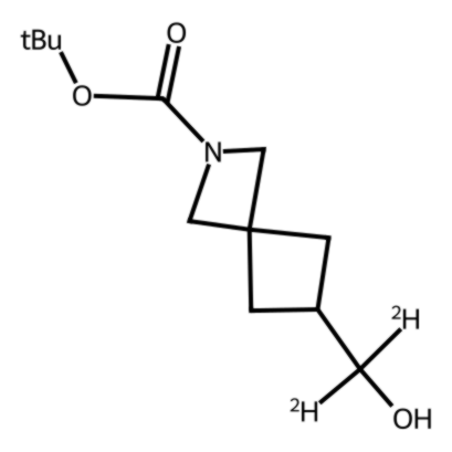 [2H]C([2H])(O)C1CC2(C1)CN(C(=O)OC(C)(C)C)C2